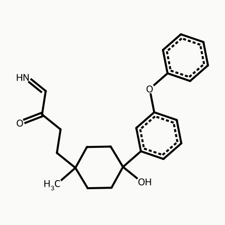 CC1(CCC(=O)C=N)CCC(O)(c2cccc(Oc3ccccc3)c2)CC1